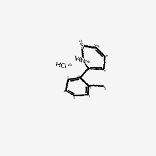 Cc1ccccc1C1=CC=CSN1.Cl